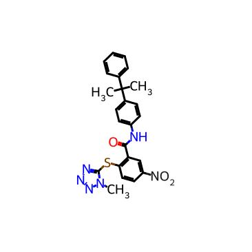 Cn1nnnc1Sc1ccc([N+](=O)[O-])cc1C(=O)Nc1ccc(C(C)(C)c2ccccc2)cc1